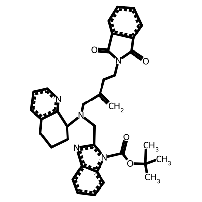 C=C(CCN1C(=O)c2ccccc2C1=O)CN(Cc1nc2ccccc2n1C(=O)OC(C)(C)C)C1CCCc2cccnc21